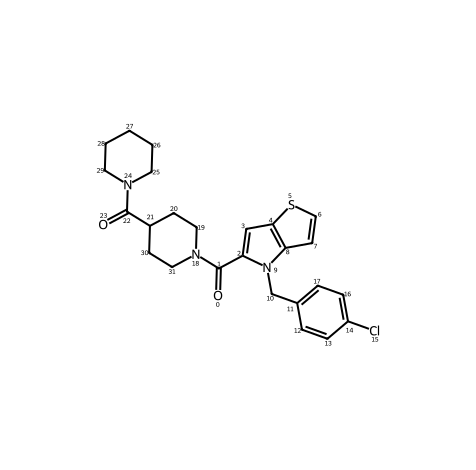 O=C(c1cc2sccc2n1Cc1ccc(Cl)cc1)N1CCC(C(=O)N2CCCCC2)CC1